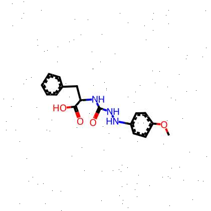 COc1ccc(NNC(=O)NC(Cc2ccccc2)C(=O)O)cc1